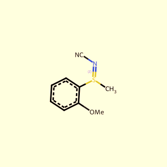 COc1ccccc1/S(C)=N\C#N